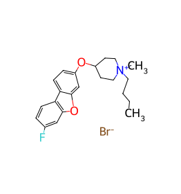 CCCC[N+]1(C)CCC(Oc2ccc3c(c2)oc2cc(F)ccc23)CC1.[Br-]